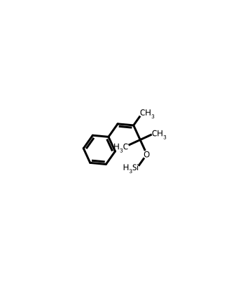 CC(=Cc1ccccc1)C(C)(C)O[SiH3]